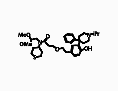 COC(CN(C(=O)CCOCCc1ccc(O)c(C2(c3ccccc3)CCN(C(C)C)CC2)c1)C1CCSCC1)OC